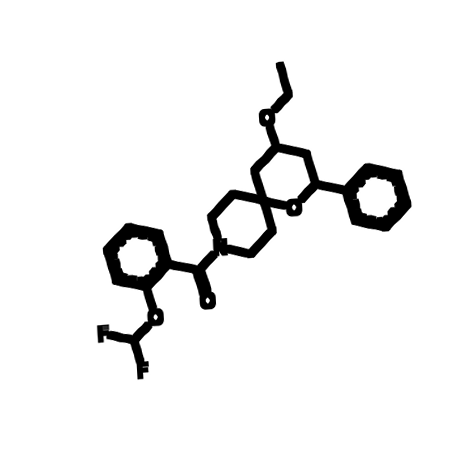 CCOC1CC(c2ccccc2)OC2(CCN(C(=O)c3ccccc3OC(F)F)CC2)C1